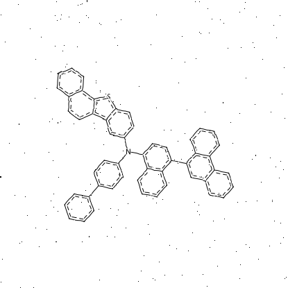 c1ccc(-c2ccc(N(c3ccc4sc5c6ccccc6ccc5c4c3)c3ccc(-c4cc5ccccc5c5ccccc45)c4ccccc34)cc2)cc1